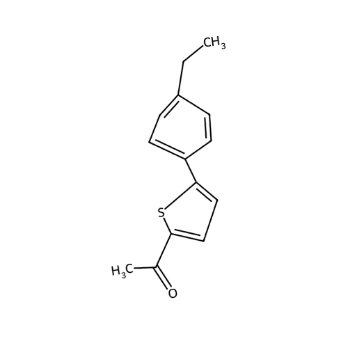 CCc1ccc(-c2ccc(C(C)=O)s2)cc1